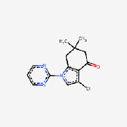 CCc1cn(-c2ncccn2)c2c1C(=O)CC(C)(C)C2